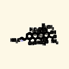 C[C@@H]1c2ccc(/C=C/C(=O)O)c(O)c2C(=O)C2=C(O)[C@@]3(O)C(=O)C(C(N)=O)=C(O)[C@H](N(C)C)[C@H]3[C@H](O)[C@H]21